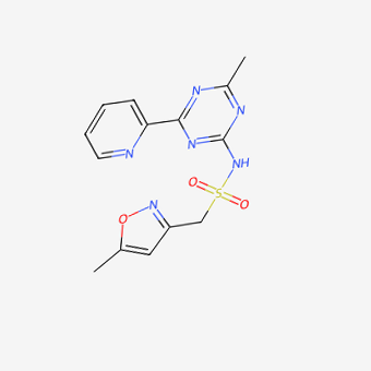 Cc1nc(NS(=O)(=O)Cc2cc(C)on2)nc(-c2ccccn2)n1